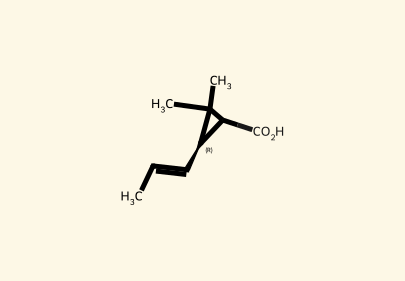 CC=C[C@@H]1C(C(=O)O)C1(C)C